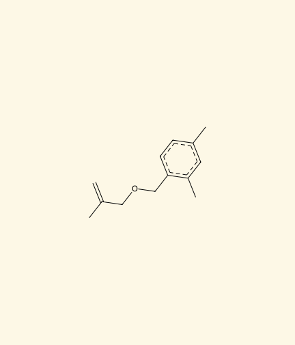 C=C(C)COCc1ccc(C)cc1C